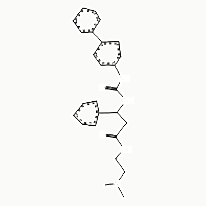 CN(C)CCNC(=O)CC(NC(=O)Nc1ccc(-c2ccccc2)cc1)c1ccccc1